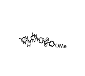 COc1ccc(S(=O)(=O)N2CCN(c3nc(C)cc(Nc4ncc(C)cn4)n3)CC2)cc1